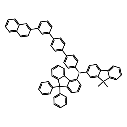 CC1(C)c2ccccc2-c2ccc(N(c3ccc(-c4ccc(-c5cccc(-c6ccc7ccccc7c6)c5)cc4)cc3)c3cccc4c3-c3ccccc3C4(c3ccccc3)c3ccccc3)cc21